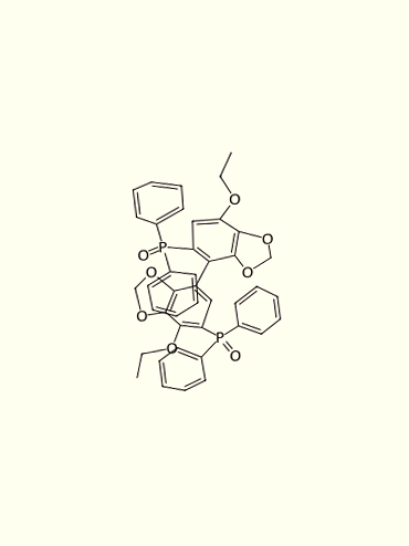 CCOc1cc(P(=O)(c2ccccc2)c2ccccc2)c(-c2cc(P(=O)(c3ccccc3)c3ccccc3)c(OCC)c3c2OCO3)c2c1OCO2